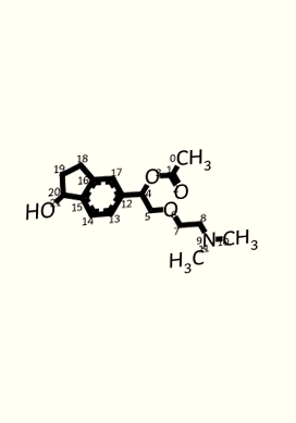 CC(=O)OC(COCCN(C)C)c1ccc2c(c1)CCC2O